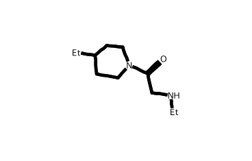 CCNCC(=O)N1CCC(CC)CC1